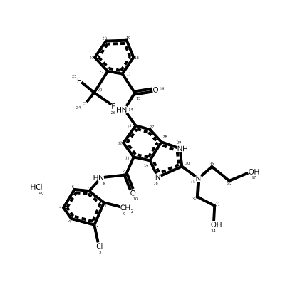 Cc1c(Cl)cccc1NC(=O)c1cc(NC(=O)c2ccccc2C(F)(F)F)cc2[nH]c(N(CCO)CCO)nc12.Cl